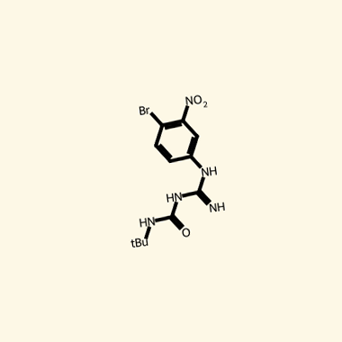 CC(C)(C)NC(=O)NC(=N)Nc1ccc(Br)c([N+](=O)[O-])c1